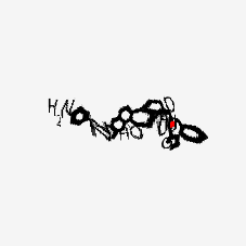 C[C@]12Cc3cnn(-c4ccc(N)cc4)c3C=C1CCC1C2[C@@H](O)C[C@@]2(C)C1CC[C@]2(OC(=O)c1ccco1)C(=O)NCc1ccccc1